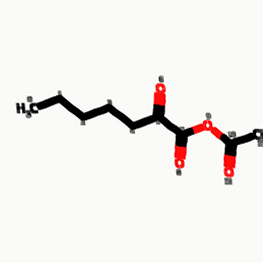 CCCCCC(=O)C(=O)OC(C)=O